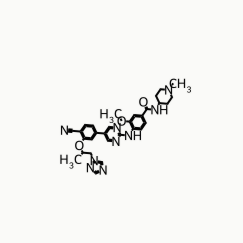 COc1cc(C(=O)NC2CCN(C)CC2)ccc1Nc1ncc(-c2ccc(C#N)c(OC(C)Cn3cncn3)c2)cn1